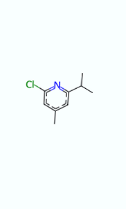 Cc1cc(Cl)nc(C(C)C)c1